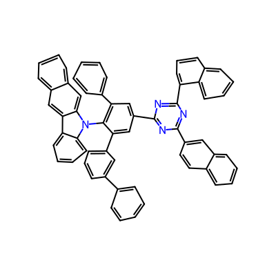 c1ccc(-c2cccc(-c3cc(-c4nc(-c5ccc6ccccc6c5)nc(-c5cccc6ccccc56)n4)cc(-c4ccccc4)c3-n3c4ccccc4c4cc5ccccc5cc43)c2)cc1